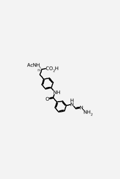 CC(=O)N[C@@H](Cc1ccc(NC(=O)c2cccc(NC=NN)c2)cc1)C(=O)O